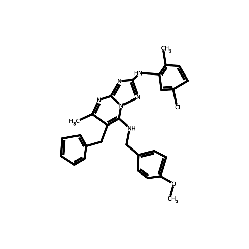 COc1ccc(CNc2c(Cc3ccccc3)c(C)nc3nc(Nc4cc(Cl)ccc4C)nn23)cc1